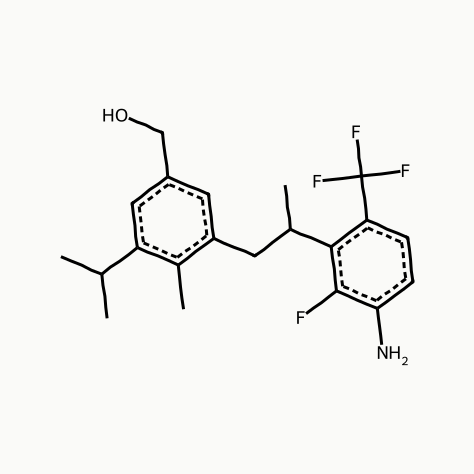 Cc1c(CC(C)c2c(C(F)(F)F)ccc(N)c2F)cc(CO)cc1C(C)C